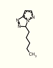 CCCCCC1N=Nc2ccnn21